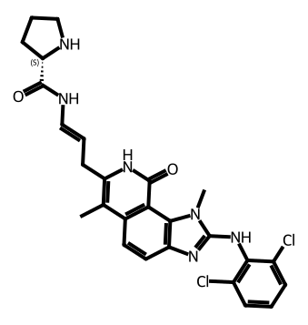 Cc1c(CC=CNC(=O)[C@@H]2CCCN2)[nH]c(=O)c2c1ccc1nc(Nc3c(Cl)cccc3Cl)n(C)c12